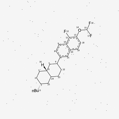 CCCC[C@@H]1CC[C@@H]2CC(c3ccc4c(F)c(OC(F)F)ccc4c3)CCC2C1